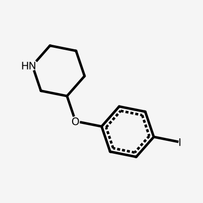 Ic1ccc(OC2CCCNC2)cc1